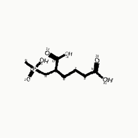 CP(=O)(O)CC(CCCC(=O)O)C(=O)O